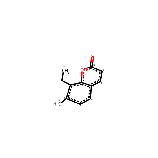 CCc1c(C)ccc2ccc(=O)oc12